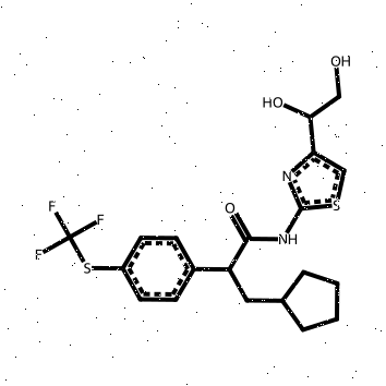 O=C(Nc1nc(C(O)CO)cs1)C(CC1CCCC1)c1ccc(SC(F)(F)F)cc1